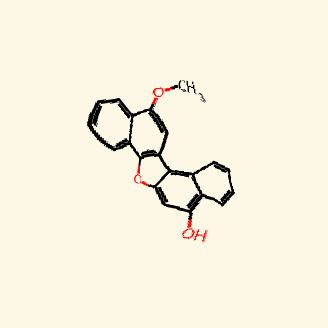 COc1cc2c(oc3cc(O)c4ccccc4c32)c2ccccc12